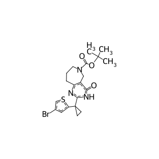 CC(C)(C)OC(=O)N1CCCc2nc(C3(c4cc(Br)cs4)CC3)[nH]c(=O)c2C1